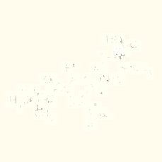 CC1CN(Cc2cc(F)c(C(=O)OC(C)(C)C)cc2C2CC2)CCN1C(=O)O